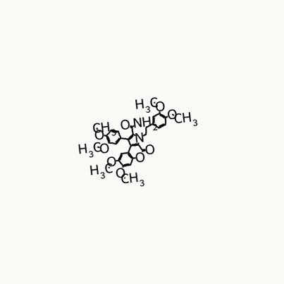 COc1ccc(CCn2c(C(N)=O)c(-c3ccc(OC)c(OC)c3)c3c4cc(OC)c(OC)cc4oc(=O)c32)cc1OC